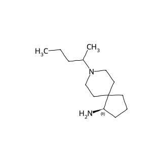 CCCC(C)N1CCC2(CCC[C@H]2N)CC1